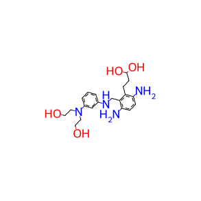 Nc1ccc(N)c(CNc2cccc(N(CCO)CCO)c2)c1CCC(O)O